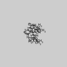 CC(C)C[C@H](NC(=O)OC(C)(C)C)C(=O)N1C[C@H]2[C@@H]([C@H]1C(=O)N[C@@H](C[C@@H]1CCNCOC1)C(N)=O)C2(C)C